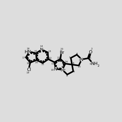 NC(=O)N1CCC2(CCn3nc(-c4cnc5[nH]cc(Cl)c5c4)c(Br)c32)C1